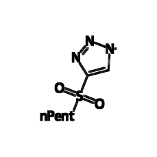 CCCCCS(=O)(=O)C1=C[N]N=N1